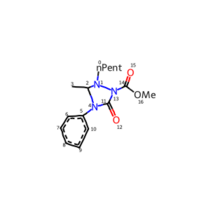 CCCCCN1C(C)N(c2ccccc2)C(=O)N1C(=O)OC